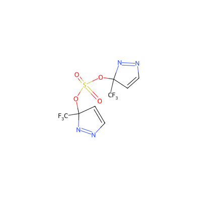 O=S(=O)(OC1(C(F)(F)F)C=CN=N1)OC1(C(F)(F)F)C=CN=N1